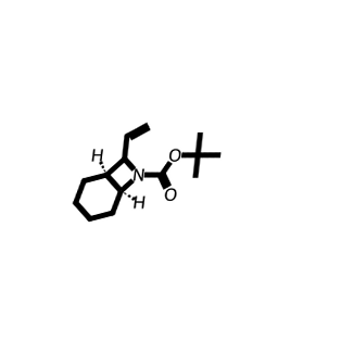 C=CC1[C@@H]2CCCC[C@@H]2N1C(=O)OC(C)(C)C